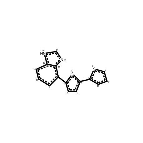 c1csc(-c2ccc(-c3cccc4[nH]cnc34)s2)c1